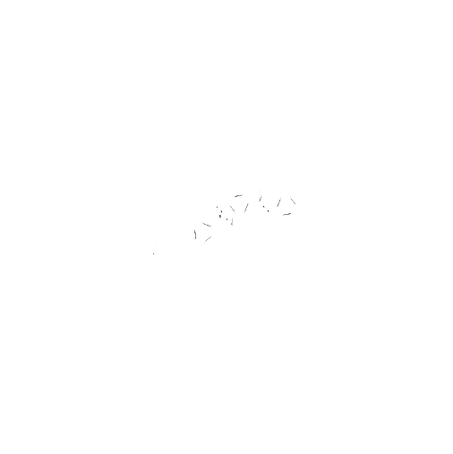 Cc1ccc(NC(=O)c2ccc3nc(-c4c(C)cc(OC[C@@H]5COC(C)(C)O5)cc4C)[nH]c3c2)cc1C